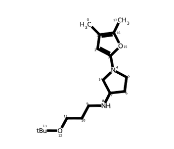 Cc1cc(N2CCC(NCCCOC(C)(C)C)C2)oc1C